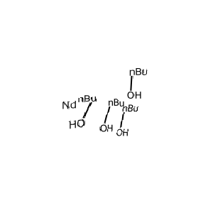 CCCCO.CCCCO.CCCCO.CCCCO.[Nd]